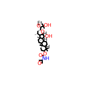 CCO[C@@H]([C@H]1C[C@@H](C)C2[C@H](O1)[C@H](O)[C@@]1(C)[C@@H]3CC[C@H]4C(C)(C)[C@@H](OC(=O)NC5COC5)CC[C@@]45C[C@@]35CC[C@]21C)C(C)(C)O